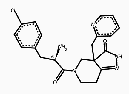 N[C@H](Cc1ccc(Cl)cc1)C(=O)N1CCC2=NNC(=O)C2(Cc2ccccn2)C1